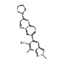 Cn1cc2cc(-c3ccc4cc(N5CCCC5)cnc4n3)c(O)c(F)c2n1